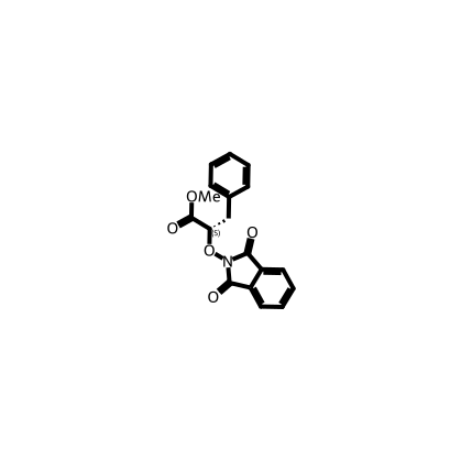 COC(=O)[C@H](Cc1ccccc1)ON1C(=O)c2ccccc2C1=O